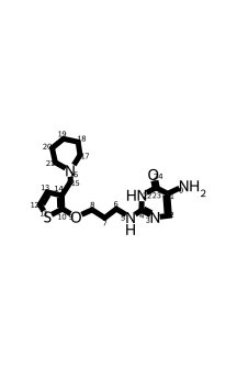 Nc1cnc(NCCCOc2sccc2CN2CCCCC2)[nH]c1=O